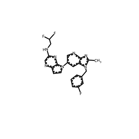 Cc1nc2ncc(-n3ccc4ncc(NCC(F)F)nc43)cc2n1Cc1cccc(F)c1